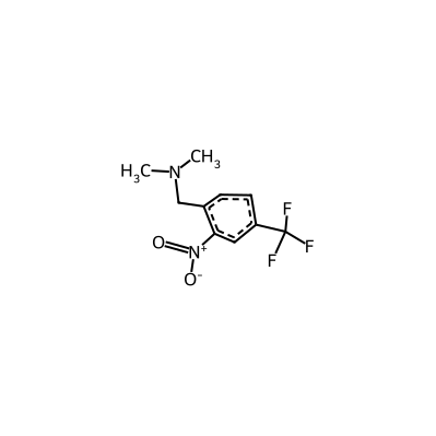 CN(C)Cc1ccc(C(F)(F)F)cc1[N+](=O)[O-]